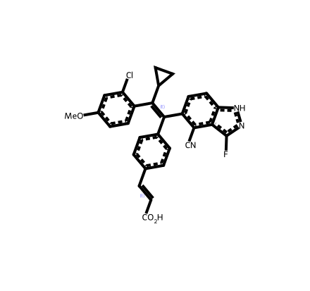 COc1ccc(/C(=C(\c2ccc(/C=C/C(=O)O)cc2)c2ccc3[nH]nc(F)c3c2C#N)C2CC2)c(Cl)c1